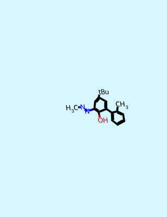 C/N=N/c1cc(C(C)(C)C)cc(-c2ccccc2C)c1O